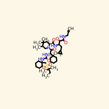 C#CCNC(=O)C(=O)C(CC1CC1)NC(=O)[C@@H]1CC(C)(C)C(C)CN1C(=O)[C@@H](NC(=O)NC1(CS(=O)(=O)C(C)(C)CC)CCCCC1)C1(C)CCCCC1